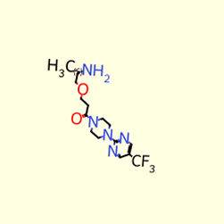 C[C@H](N)COCCC(=O)N1CCN(c2ncc(C(F)(F)F)cn2)CC1